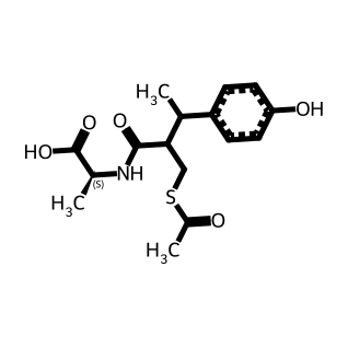 CC(=O)SCC(C(=O)N[C@@H](C)C(=O)O)C(C)c1ccc(O)cc1